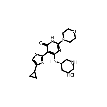 Cl.O=c1[nH]c(N2CCOCC2)nc(N[C@@H]2CCCNC2)c1-c1nc(C2CC2)cs1